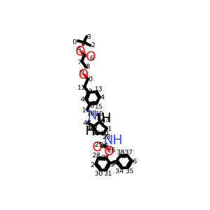 CC(C)(C)OC(=O)CCOCCc1cccc(CN2C[C@H]3C[C@H](NC(=O)Oc4ccccc4-c4ccccc4)C[C@H]3C2)c1